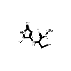 CC(C)CC(NC1=CC(=O)N[C@H]1C)C(=O)OC(C)(C)C